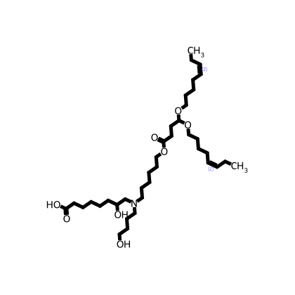 CC/C=C\CCCCOC(CCC(=O)OCCCCCCN(CCCCO)CC(O)CCCCCC(=O)O)OCCCC/C=C\CC